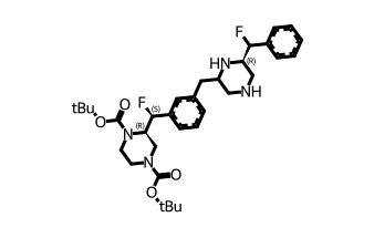 CC(C)(C)OC(=O)N1CCN(C(=O)OC(C)(C)C)[C@@H]([C@@H](F)c2cccc(CC3CNC[C@H](C(F)c4ccccc4)N3)c2)C1